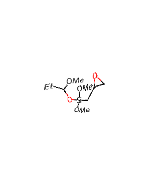 CCC(OC)O[Si](CC1CO1)(OC)OC